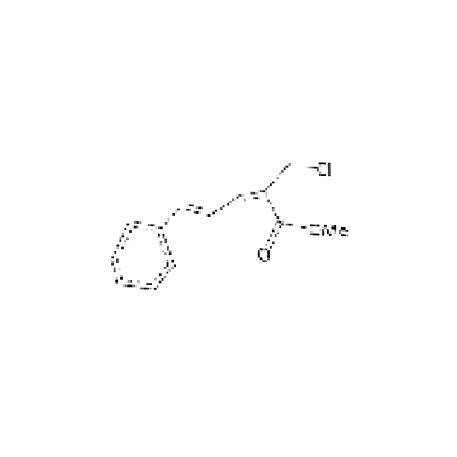 COC(=O)C(=CC=Cc1ccccc1)CCl